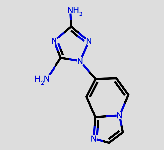 Nc1nc(N)n(-c2ccn3ccnc3c2)n1